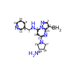 Bc1cnn2c(NCc3cccnc3)cc(N3CC[C@H](N)C3)nc12